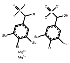 CCc1c(C(C)(C)C)cc(C(O)P(=O)([O-])[O-])cc1C(C)(C)C.CCc1c(C(C)(C)C)cc(C(O)P(=O)([O-])[O-])cc1C(C)(C)C.[Mg+2].[Mg+2]